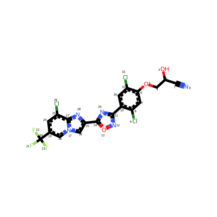 N#CC(O)COc1cc(Cl)c(-c2noc(-c3cn4cc(C(F)(F)F)cc(Cl)c4n3)n2)cc1Cl